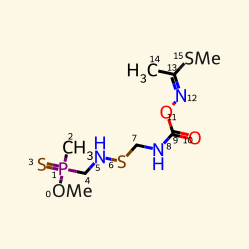 COP(C)(=S)CNSCNC(=O)ON=C(C)SC